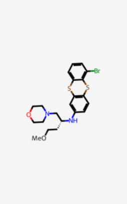 COCC[C@H](CN1CCOCC1)Nc1ccc2c(c1)Sc1cccc(Br)c1S2